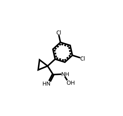 N=C(NO)C1(c2cc(Cl)cc(Cl)c2)CC1